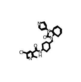 Cc1ncc(Cl)cc1C(=O)NC1CCC(Cn2c3c(n(-c4ccncc4)c2=O)C=CC=CC3)CC1